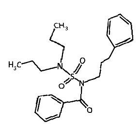 CCCN(CCC)S(=O)(=O)N(CCCc1ccccc1)C(=O)c1ccccc1